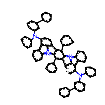 c1ccc(-c2cccc(N(c3ccccc3)c3ccc4c5c(-c6ccccc6)c6c(c(-c7ccccc7)c5n5c7ccccc7c3c45)c3ccc(N(c4ccccc4)c4cccc(-c5ccccc5)c4)c4c5ccccc5n6c34)c2)cc1